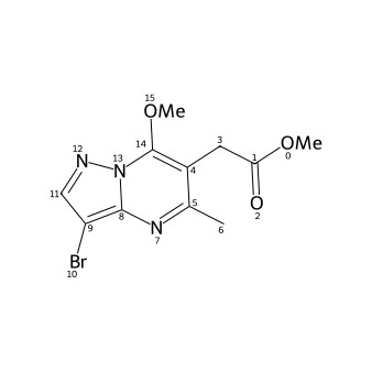 COC(=O)Cc1c(C)nc2c(Br)cnn2c1OC